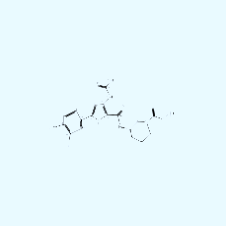 CC(C)(C)OC(=O)N1CCC[C@@H](NC(=O)c2sc(-c3ccc(F)c(F)c3)cc2NC(N)=O)C1